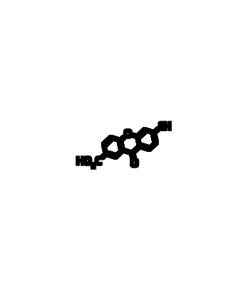 O=C(O)c1ccc2oc3cc(S)ccc3c(=O)c2c1